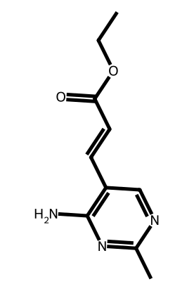 CCOC(=O)/C=C/c1cnc(C)nc1N